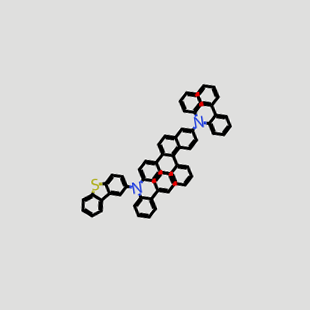 c1ccc(-c2ccccc2N(c2ccccc2)c2ccc3c(ccc4c5ccc(N(c6ccc7sc8ccccc8c7c6)c6ccccc6-c6ccccc6)cc5c5ccccc5c34)c2)cc1